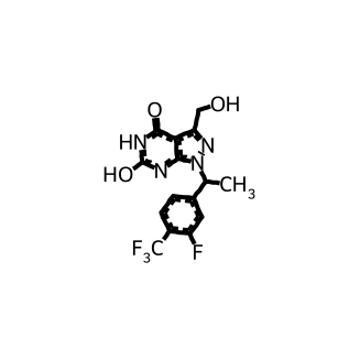 CC(c1ccc(C(F)(F)F)c(F)c1)n1nc(CO)c2c(=O)[nH]c(O)nc21